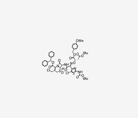 COc1ccc(COC(=O)[C@H](CC(=O)OC(C)(C)C)ON=C(C(=O)N[C@@H]2C(=O)N3C(C(=O)OC(c4ccccc4)c4ccccc4)=C(CCl)C[S@@+]([O-])[C@H]23)c2nc(NC(=O)OC(C)(C)C)sc2Cl)cc1